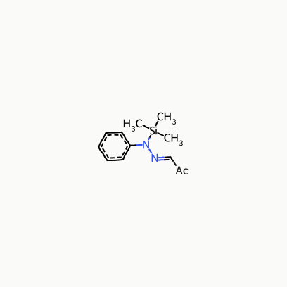 CC(=O)C=NN(c1ccccc1)[Si](C)(C)C